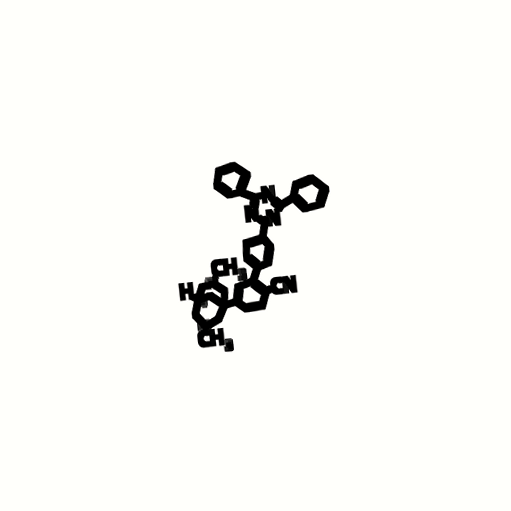 C[C@@H]1C[C@@H]2C[C@H](C)CC(c3ccc(C#N)c(-c4ccc(-c5nc(-c6ccccc6)nc(-c6ccccc6)n5)cc4)c3)(C1)C2